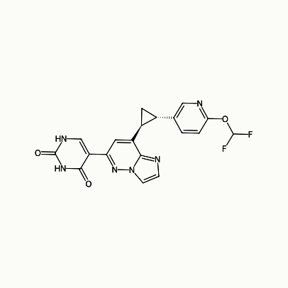 O=c1[nH]cc(-c2cc([C@H]3C[C@@H]3c3ccc(OC(F)F)nc3)c3nccn3n2)c(=O)[nH]1